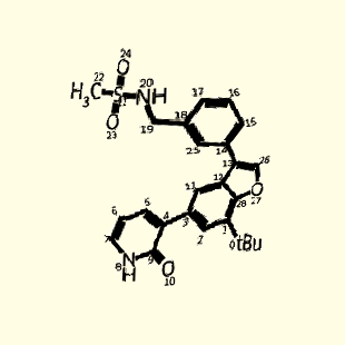 CC(C)(C)c1cc(-c2ccc[nH]c2=O)cc2c(-c3cccc(CNS(C)(=O)=O)c3)coc12